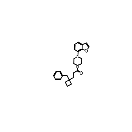 O=C(CCC1(Cc2ccccc2)CCC1)N1CCN(c2cccc3ccoc23)CC1